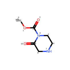 CC(C)(C)OC(=O)N1CCNCC1=O